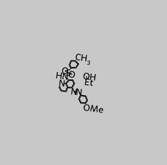 CCO.COc1ccc(N=Nc2ccc(NS(=O)(=O)c3ccc(C)cc3)c3ncccc23)cc1